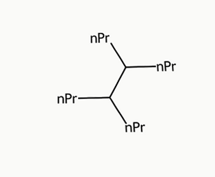 [CH2]CCC(CCC)C(CC[CH2])CCC